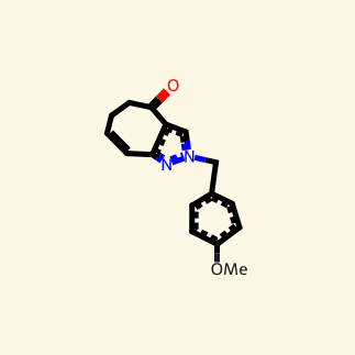 COc1ccc(Cn2cc3c(n2)C=CCCC3=O)cc1